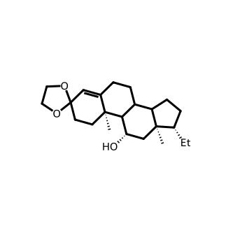 CC[C@H]1CCC2C3CCC4=CC5(CC[C@]4(C)C3[C@@H](O)C[C@@]21C)OCCO5